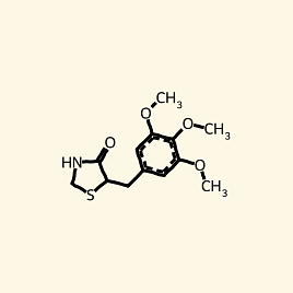 COc1cc(CC2SCNC2=O)cc(OC)c1OC